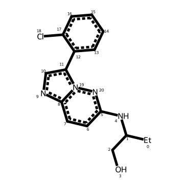 CCC(CO)Nc1ccc2ncc(-c3ccccc3Cl)n2n1